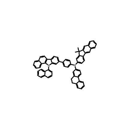 CC1(C)c2cc(N(c3ccc(-c4ccc5c6ccc7ccccc7c6n(-c6cccc7ccccc67)c5c4)cc3)c3ccc4c(c3)CCc3ccccc3-4)ccc2-c2cc3ccccc3cc21